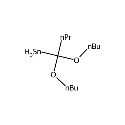 CCCCO[C]([SnH3])(CCC)OCCCC